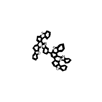 c1ccc2c(c1)nc1c3c(cc(-c4ccc5c(c4)nc4c6c(ccc7sc8ccccc8c76)c6ccc7c8ccccc8oc7c6n54)c4sc5ccccc5c43)c3ccc4oc5ccccc5c4c3n21